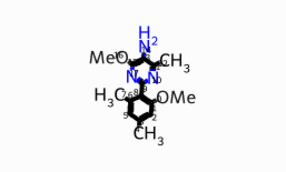 COc1cc(C)cc(C)c1-c1nc(C)c(N)c(OC)n1